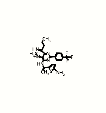 C=C(Nc1nc(-c2ccc(C(F)(F)F)cc2)nc(C(=N)CCC)c1NC)c1ccc(N)s1